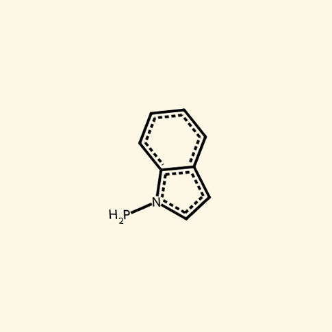 Pn1ccc2ccccc21